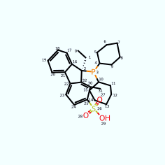 CC[C@@]1(P(C2CCCCC2)C2CCCCC2)c2ccccc2-c2ccc(S(=O)(=O)O)c(C)c21